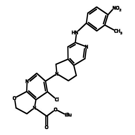 Cc1cc(Nc2cc3c(cn2)CCN(c2cnc4c(c2Cl)N(C(=O)OC(C)(C)C)CCO4)C3)ccc1[N+](=O)[O-]